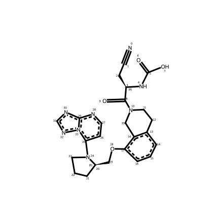 N#CC[C@@H](NC(=O)O)C(=O)N1CCc2cccc(OC[C@H]3CCCN3c3ccnc4ncnn34)c2C1